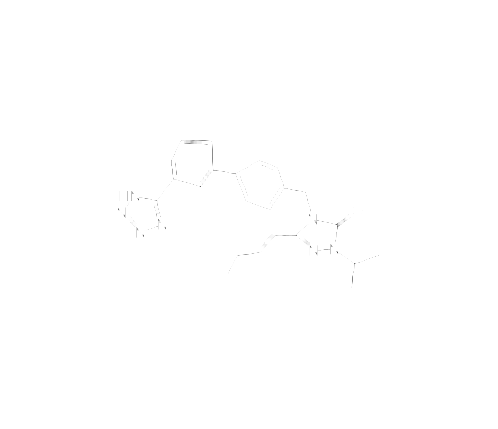 CCC=Cc1nn(C(C)C)c(=O)n1Cc1ccc(-c2cccc(-c3nnn[nH]3)c2)cc1